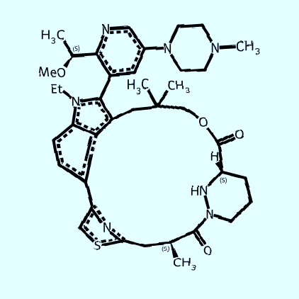 CCn1c(-c2cc(N3CCN(C)CC3)cnc2[C@H](C)OC)c2c3cc(ccc31)-c1csc(n1)C[C@H](C)C(=O)N1CCC[C@H](N1)C(=O)OCC(C)(C)C2